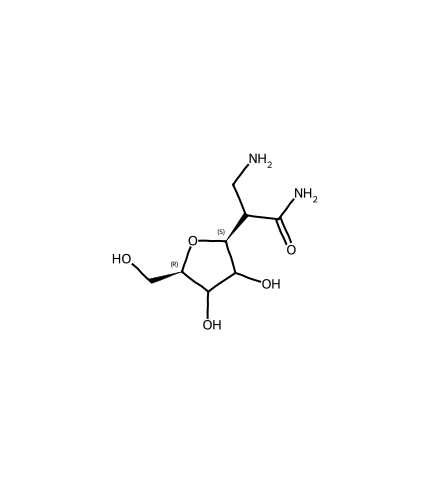 NCC(C(N)=O)[C@@H]1O[C@H](CO)C(O)C1O